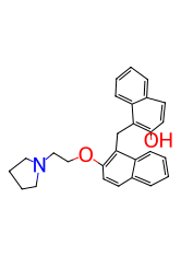 Oc1ccc2ccccc2c1Cc1c(OCCN2CCCC2)ccc2ccccc12